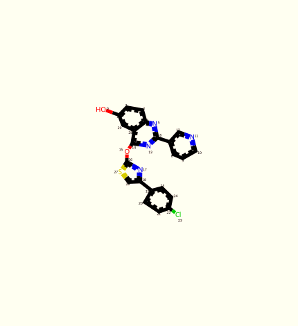 Oc1ccc2nc(-c3cccnc3)nc(Oc3nc(-c4ccc(Cl)cc4)cs3)c2c1